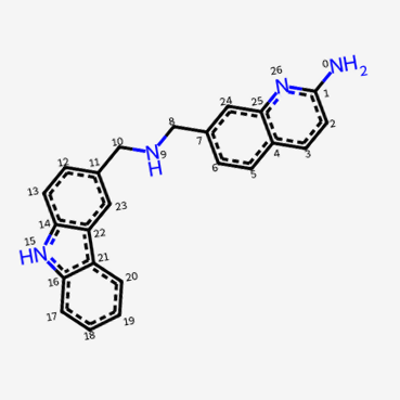 Nc1ccc2ccc(CNCc3ccc4[nH]c5ccccc5c4c3)cc2n1